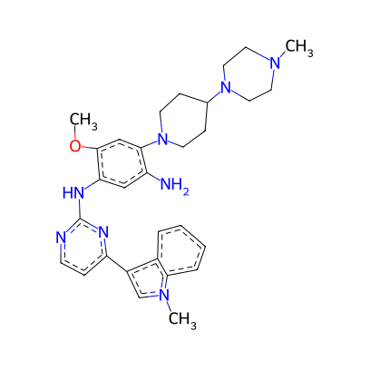 COc1cc(N2CCC(N3CCN(C)CC3)CC2)c(N)cc1Nc1nccc(-c2cn(C)c3ccccc23)n1